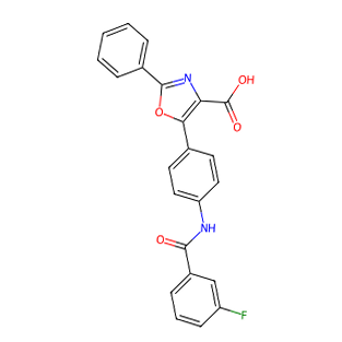 O=C(Nc1ccc(-c2oc(-c3ccccc3)nc2C(=O)O)cc1)c1cccc(F)c1